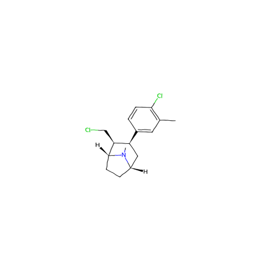 Cc1cc([C@H]2C[C@@H]3CC[C@H]([C@H]2CCl)N3C)ccc1Cl